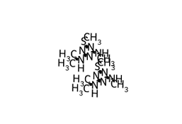 CNc1nc(NC(C)C)nc(SC)n1.CNc1nc(NC(C)C)nc(SC)n1